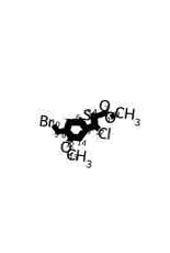 COC(=O)c1sc2cc(CBr)c(OC)cc2c1Cl